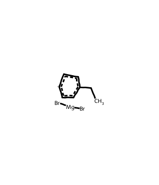 CCc1cc[c]cc1.[Br][Mg][Br]